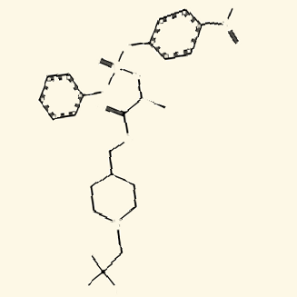 C[C@H](NP(=O)(Oc1ccccc1)Oc1ccc([N+](=O)[O-])cc1)C(=O)OCC1CCN(CC(F)(F)F)CC1